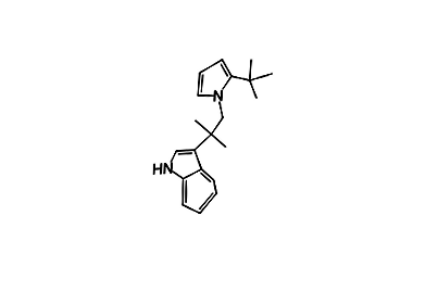 CC(C)(C)c1cccn1CC(C)(C)c1c[nH]c2ccccc12